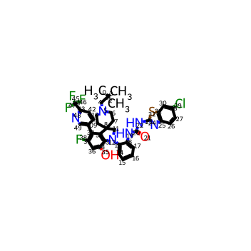 CC(C)(C)CN1CCC2(CC1)CN(c1ccccc1NC(=O)Nc1nc3ccc(Cl)cc3s1)c1c(O)cc(F)c(-c3ccc(C(F)(F)F)nc3)c12